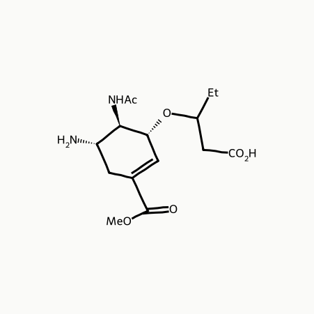 CCC(CC(=O)O)O[C@@H]1C=C(C(=O)OC)C[C@H](N)[C@H]1NC(C)=O